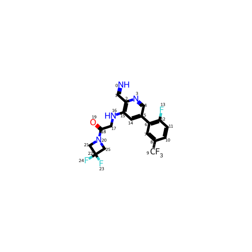 N=Cc1ncc(-c2cc(C(F)(F)F)ccc2F)cc1NCC(=O)N1CC(F)(F)C1